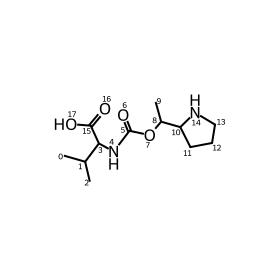 CC(C)C(NC(=O)OC(C)C1CCCN1)C(=O)O